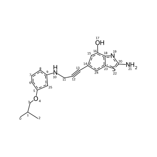 CC(C)COc1cccc(NCC#Cc2cc(O)c3nc(N)sc3c2)c1